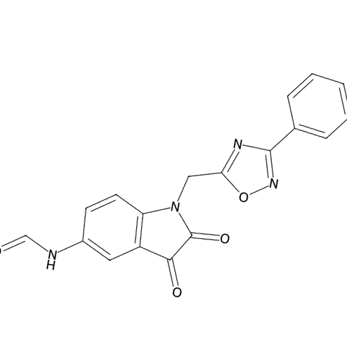 O=CNc1ccc2c(c1)C(=O)C(=O)N2Cc1nc(-c2ccccc2)no1